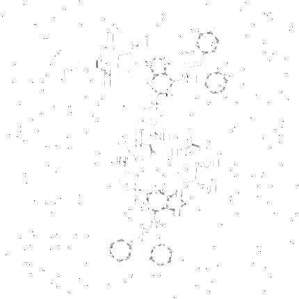 CCC(=O)N[C@H]1CC(n2cnc3c(NCC(c4ccccc4)c4ccccc4)nc(N4CC[C@@H](NS(=O)(=O)NC(=O)N[C@@H]5CCN(c6nc(NCC(c7ccccc7)c7ccccc7)c7ncn([C@@H]8C[C@H](NC(=O)CCF)[C@@H](O)[C@H]8O)c7n6)C5)C4)nc32)[C@H](O)[C@@H]1O